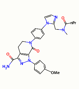 CCCC(=O)N(C)Cc1nccn1-c1ccc(N2CCc3c(C(N)=O)nn(-c4ccc(OC)cc4)c3C2=O)cc1